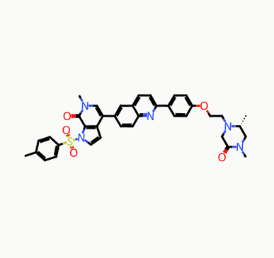 Cc1ccc(S(=O)(=O)n2ccc3c(-c4ccc5nc(-c6ccc(OCCN7CC(=O)N(C)C[C@H]7C)cc6)ccc5c4)cn(C)c(=O)c32)cc1